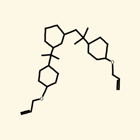 C=CCOC1CCC(C(C)(C)CC2CCCC(C(C)(C)C3CCC(OCC=C)CC3)C2)CC1